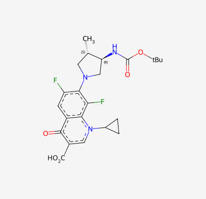 C[C@H]1CN(c2c(F)cc3c(=O)c(C(=O)O)cn(C4CC4)c3c2F)C[C@@H]1NC(=O)OC(C)(C)C